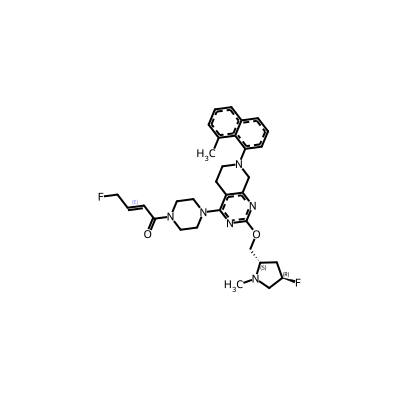 Cc1cccc2cccc(N3CCc4c(nc(OC[C@@H]5C[C@@H](F)CN5C)nc4N4CCN(C(=O)/C=C/CF)CC4)C3)c12